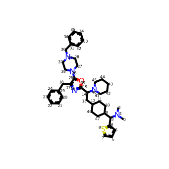 CN(C)C(c1cccs1)C1CCC(CC(c2nc(Cc3ccccc3)c(N3CCN(Cc4ccccc4)CC3)o2)N2CCCCC2)CC1